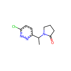 CC(c1ccc(Cl)nn1)N1CCCC1=O